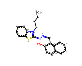 O=S(=O)(O)CCCn1/c(=N\N=C/c2c(O)ccc3ccccc23)sc2ccccc21